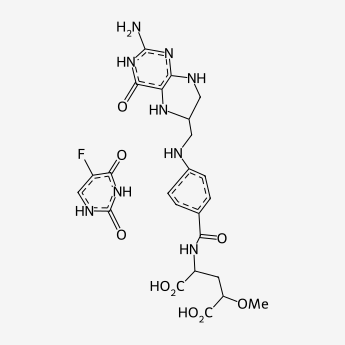 COC(CC(NC(=O)c1ccc(NCC2CNc3nc(N)[nH]c(=O)c3N2)cc1)C(=O)O)C(=O)O.O=c1[nH]cc(F)c(=O)[nH]1